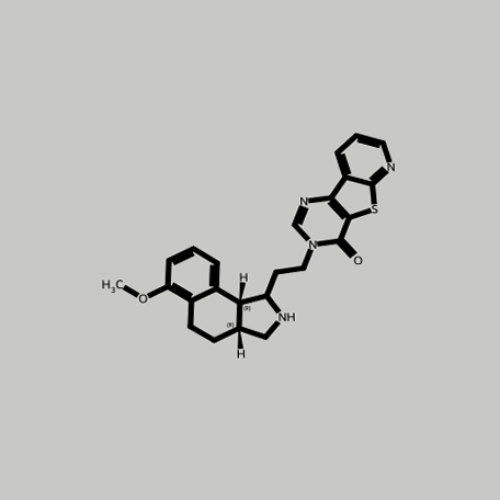 COc1cccc2c1CC[C@H]1CNC(CCn3cnc4c(sc5ncccc54)c3=O)[C@@H]21